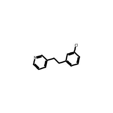 Clc1cccc(CCc2[c]nccc2)c1